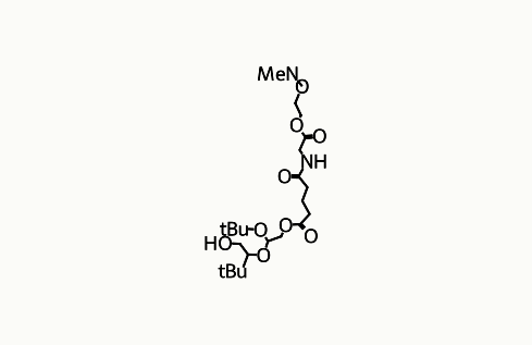 CNOCCOC(=O)CNC(=O)CCCC(=O)OCC(OC(CO)C(C)(C)C)OC(C)(C)C